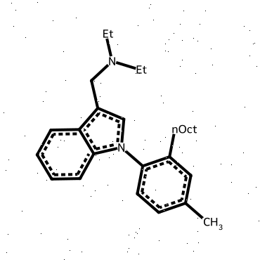 CCCCCCCCc1cc(C)ccc1-n1cc(CN(CC)CC)c2ccccc21